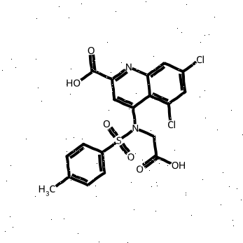 Cc1ccc(S(=O)(=O)N(CC(=O)O)c2cc(C(=O)O)nc3cc(Cl)cc(Cl)c23)cc1